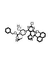 C[C@H]1CN(c2nc(Cl)nc3nc(-c4cccc5cccc(Cl)c45)n4nccc4c23)C[C@H](CC#N)N1C(=O)OCc1ccccc1